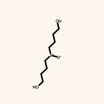 [O-][S+](CCCCO)CCCCO